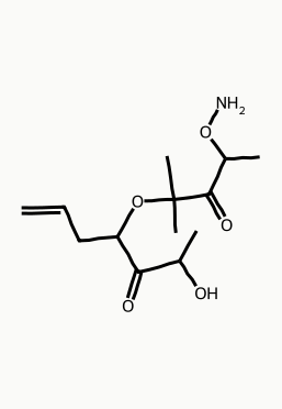 C=CCC(OC(C)(C)C(=O)C(C)ON)C(=O)C(C)O